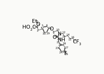 CCOC(Cc1ccc(OCCN(CCCCCC(F)(F)F)C(=O)NCc2ccc(F)cc2)cc1)C(=O)O